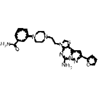 NC(=O)c1cccc(N2CCN(CCn3cnc4c3nc(N)n3nc(-c5ccco5)cc43)CC2)c1